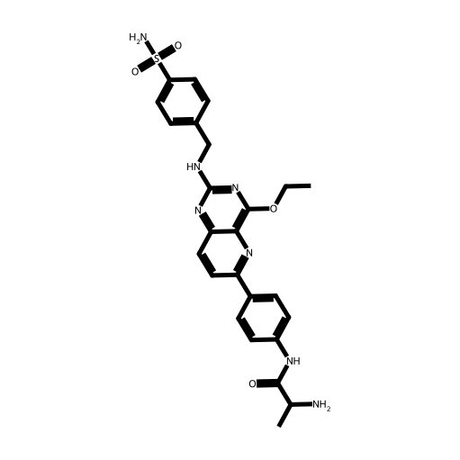 CCOc1nc(NCc2ccc(S(N)(=O)=O)cc2)nc2ccc(-c3ccc(NC(=O)C(C)N)cc3)nc12